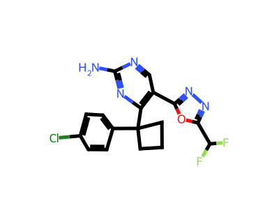 Nc1ncc(-c2nnc(C(F)F)o2)c(C2(c3ccc(Cl)cc3)CCC2)n1